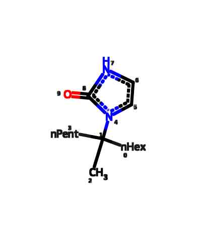 CCCCCCC(C)(CCCCC)n1cc[nH]c1=O